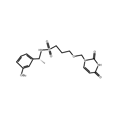 CC(C)COc1cccc([C@@H](C)NS(=O)(=O)CCCOCn2ccc(=O)[nH]c2=O)c1